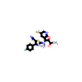 CC(=O)c1oc2ncc(Br)cc2c1N(C)c1nc(-c2ccc(F)cc2)c(C#N)s1